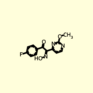 COc1nccc(C(=NO)C(=O)c2ccc(F)cc2)n1